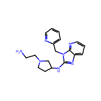 NCCN1CCC(Nc2nc3cccnc3n2Cc2ccccn2)C1